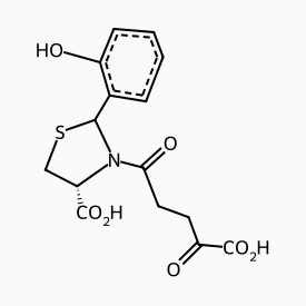 O=C(O)C(=O)CCC(=O)N1C(c2ccccc2O)SC[C@H]1C(=O)O